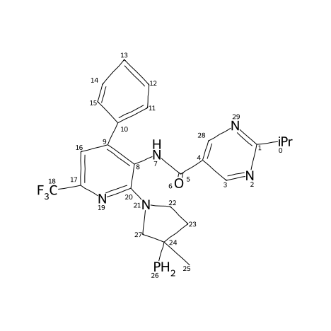 CC(C)c1ncc(C(=O)Nc2c(-c3ccccc3)cc(C(F)(F)F)nc2N2CCC(C)(P)C2)cn1